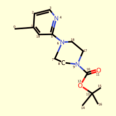 Cc1ccnc(N2CCN(C(=O)OC(C)(C)C)CC2)c1